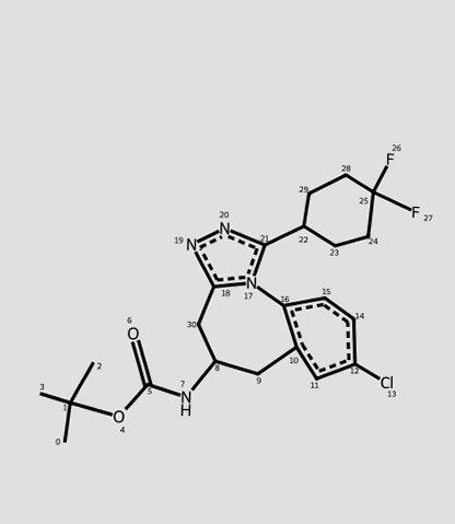 CC(C)(C)OC(=O)NC1Cc2cc(Cl)ccc2-n2c(nnc2C2CCC(F)(F)CC2)C1